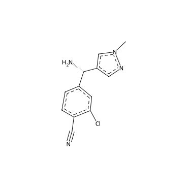 Cn1cc([C@@H](N)c2ccc(C#N)c(Cl)c2)cn1